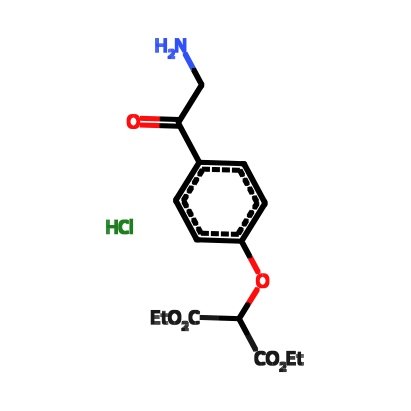 CCOC(=O)C(Oc1ccc(C(=O)CN)cc1)C(=O)OCC.Cl